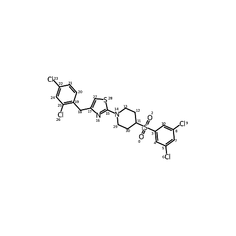 O=S(=O)(c1cc(Cl)cc(Cl)c1)C1CCN(c2nc(Cc3ccc(Cl)cc3Cl)cs2)CC1